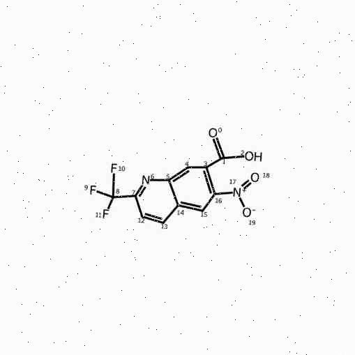 O=C(O)c1cc2nc(C(F)(F)F)ccc2cc1[N+](=O)[O-]